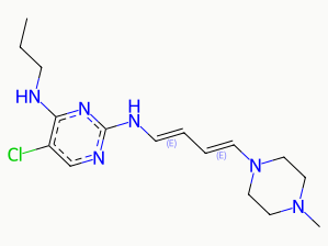 CCCNc1nc(N/C=C/C=C/N2CCN(C)CC2)ncc1Cl